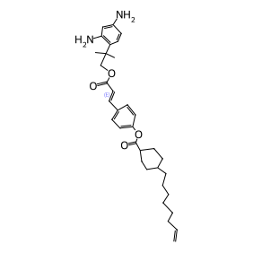 C=CCCCCCCC1CCC(C(=O)Oc2ccc(/C=C/C(=O)OCC(C)(C)c3ccc(N)cc3N)cc2)CC1